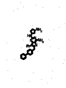 CC(C)n1c(Cc2ccc(-c3ccccc3)cc2)nc2c(N)nc(N[C@H]3CC[C@H](N)C3)nc21